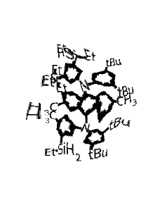 CC[SiH2]c1cc(C)cc(N(c2cc(C(C)(C)C)cc(C(C)(C)C)c2)c2c3ccc(C)cc3c(N(c3cc(C(C)(C)C)cc(C(C)(C)C)c3)c3cc([SiH](CC)CC)cc([Si](CC)(CC)CC)c3)c3ccc(C)cc23)c1